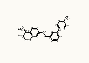 CC1CCc2cc(OCc3cccc(-c4ccc(C(F)(F)F)cc4)c3)ccc2C1C(=O)O